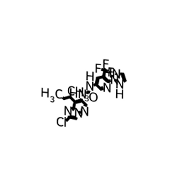 CCC(C)c1c(NC(=O)Nc2cnc(N3NC=CN3)c(C(F)(F)F)c2)cnn2cc(Cl)nc12